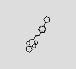 C(=CC1COC2(CCCC2)OO1)c1ccc(C2CCCC2)cc1